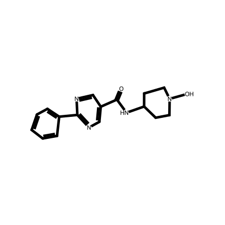 O=C(NC1CCN(O)CC1)c1cnc(-c2ccccc2)nc1